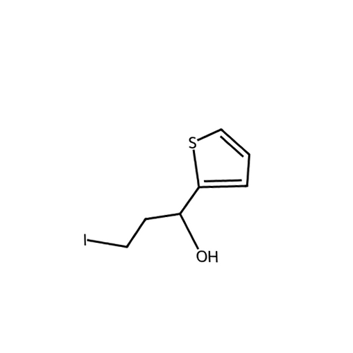 OC(CCI)c1cccs1